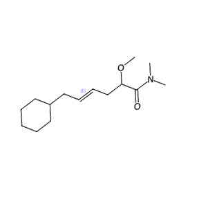 COC(C/C=C/CC1CCCCC1)C(=O)N(C)C